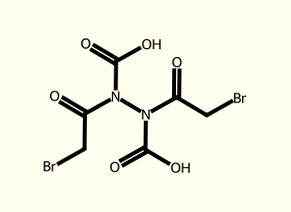 O=C(O)N(C(=O)CBr)N(C(=O)O)C(=O)CBr